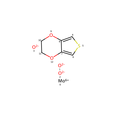 [Mo+6].[O-2].[O-2].[O-2].c1scc2c1OCCO2